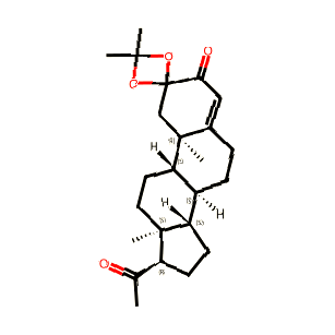 CC(=O)[C@@H]1CC[C@H]2[C@@H]3CCC4=CC(=O)C5(C[C@]4(C)[C@H]3CC[C@]12C)OC(C)(C)O5